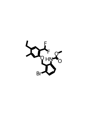 CCc1cc(C(F)F)c(OCc2c(Br)cccc2NC(=O)OC)cc1C